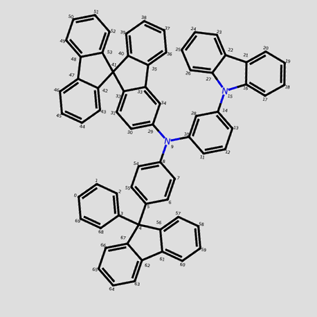 c1ccc(C2(c3ccc(N(c4cccc(-n5c6ccccc6c6ccccc65)c4)c4ccc5c(c4)-c4ccccc4C54c5ccccc5-c5ccccc54)cc3)c3ccccc3-c3ccccc32)cc1